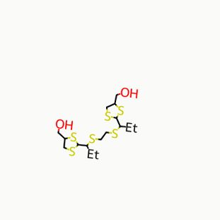 CCC(SCCSC(CC)C1SCC(CO)S1)C1SCC(CO)S1